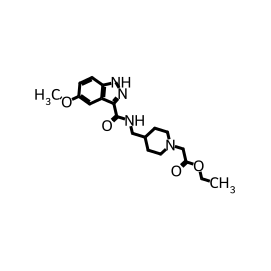 CCOC(=O)CN1CCC(CNC(=O)c2n[nH]c3ccc(OC)cc23)CC1